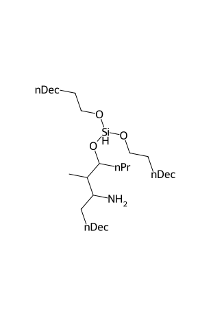 CCCCCCCCCCCCO[SiH](OCCCCCCCCCCCC)OC(CCC)C(C)C(N)CCCCCCCCCCC